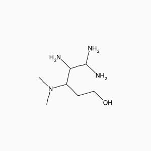 CN(C)C(CCO)C(N)C(N)N